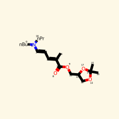 CCCCN(/C=C/C=C(\C)C(=O)OCC1COC(C)(C)O1)CCC